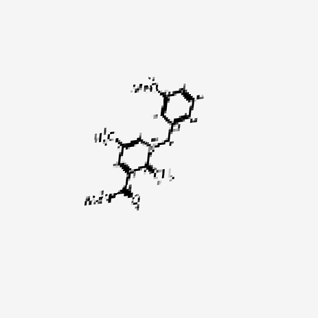 C=C1C(C(=O)NC)=CC(C)=CN1Cc1cccc(OC)c1